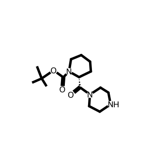 CC(C)(C)OC(=O)N1CCCC[C@@H]1C(=O)N1CCNCC1